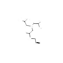 C=CCOC(C)CN(CC(C)O)CC(C)O